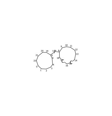 C1CCCCCC([P]C2CCCCCCCCCC2)CCCC1